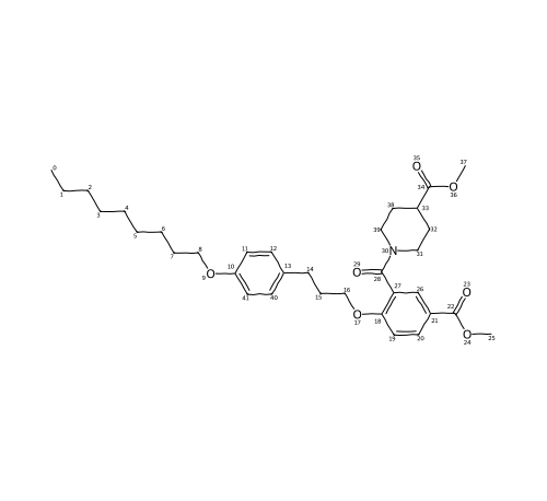 CCCCCCCCCOc1ccc(CCCOc2ccc(C(=O)OC)cc2C(=O)N2CCC(C(=O)OC)CC2)cc1